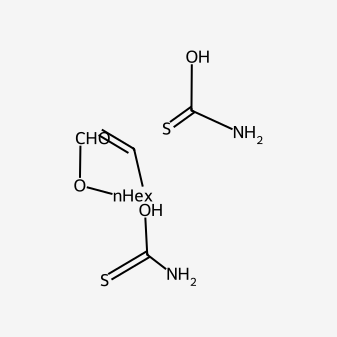 C=CC.CCCCCCOC=O.NC(O)=S.NC(O)=S